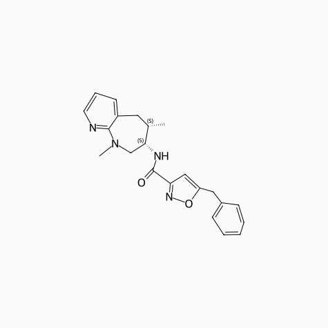 C[C@H]1Cc2cccnc2N(C)C[C@H]1NC(=O)c1cc(Cc2ccccc2)on1